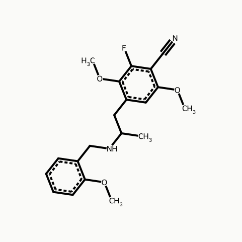 COc1ccccc1CNC(C)Cc1cc(OC)c(C#N)c(F)c1OC